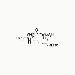 CCCCCCCCCCCCCCCCCCN[C@H](C)C(=O)O.NC(=O)CC[C@H](N)C(=O)O